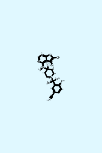 [2H]c1c(Cl)sc2ncnc(N([2H])C3([2H])CCN(C([2H])([2H])c4cc(C#N)ccc4F)CC3)c12